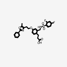 Cc1oc(-c2ccccc2)nc1CCOc1ccc(CCC(=O)O)c(CNS(=O)(=O)c2ccc(F)cc2F)c1